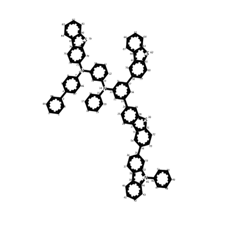 c1ccc(-c2ccc(N(c3cccc(N(c4ccccc4)c4cc(-c5ccc6c(c5)sc5ccc(-c7ccc8c9ccccc9n(-c9ccccc9)c8c7)cc56)cc(-c5ccc6sc7ccccc7c6c5)c4)c3)c3ccc4c(c3)sc3ccccc34)cc2)cc1